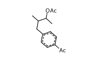 CC(=O)OC(C)C(C)Cc1ccc(C(C)=O)cc1